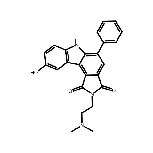 CN(C)CCN1C(=O)c2cc(-c3ccccc3)c3[nH]c4ccc(O)cc4c3c2C1=O